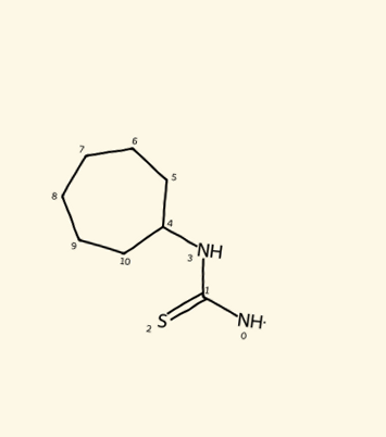 [NH]C(=S)NC1CCCCCC1